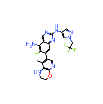 Cc1c(-c2cc3nc(Nc4cnn(CC(F)(F)F)c4)ncc3c(N)c2F)cnc2c1NCCO2